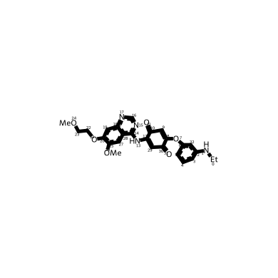 CCNc1cccc(OC2=CC(=O)C(Nc3ncnc4cc(OCCOC)c(OC)cc34)=CC2=O)c1